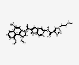 COCCn1cc(C(=O)Nc2cc3cc(C(=O)N4C[C@@H](CCl)c5c4cc(O)c4cccc(OC)c54)[nH]c3cn2)nn1